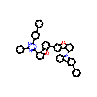 c1ccc(-c2ccc(-c3nc(-c4ccccc4)nc(-c4cccc5oc6c(-c7ccc8c(c7)oc7cccc(-n9c%10ccccc%10c%10cc(-c%11ccccc%11)ccc%109)c78)cccc6c45)n3)cc2)cc1